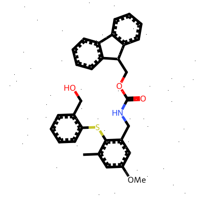 COc1cc(C)c(Sc2ccccc2CO)c(CNC(=O)OCC2c3ccccc3-c3ccccc32)c1